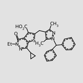 CCn1nc(C2CC2)c2sc(Cc3c(C)nn(C(c4ccccc4)c4ccccc4)c3C)c(C(=O)O)c2c1=O